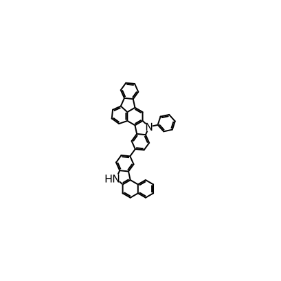 c1ccc(-n2c3ccc(-c4ccc5[nH]c6ccc7ccccc7c6c5c4)cc3c3c4cccc5c4c(cc32)-c2ccccc2-5)cc1